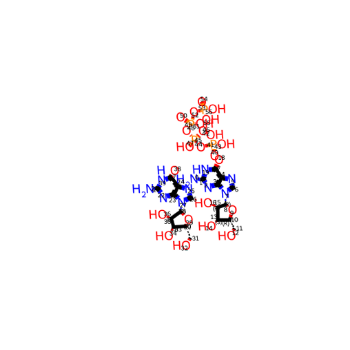 Nc1nc2c(ncn2[C@@H]2O[C@H](CO)[C@@H](O)[C@H]2O)c(=O)[nH]1.Nc1nc2c(ncn2[C@@H]2O[C@H](CO)[C@@H](O)[C@H]2O)c(=O)[nH]1.O=P(O)(O)OP(=O)(O)OP(=O)(O)OP(=O)(O)O